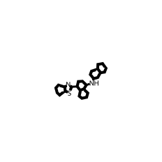 c1ccc2cc(Nc3ccc(-c4nc5ccccc5s4)c4ccccc34)ccc2c1